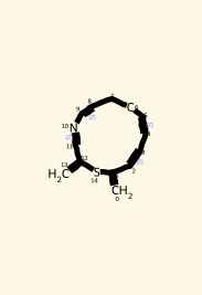 C=C1/C=C\C=C/CC/C=C\N=C/C(=C)S1